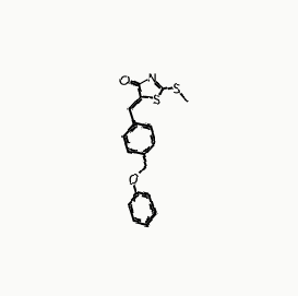 CSC1=NC(=O)C(=Cc2ccc(COc3ccccc3)cc2)S1